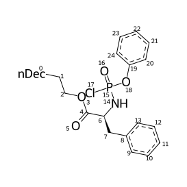 CCCCCCCCCCCCOC(=O)[C@H](Cc1ccccc1)NP(=O)(Cl)Oc1ccccc1